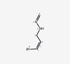 C=NNC/C=C\C(C)C